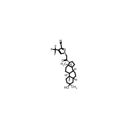 C[C@@]1(O)CC[C@@]2(F)[C@H](CC[C@H]3[C@@H]4CC[C@H](C(=O)Cn5cc(C(F)(F)F)c(C#N)n5)[C@@]4(C)CC[C@@H]32)C1